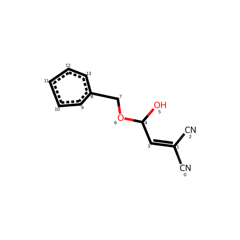 N#CC(C#N)=CC(O)OCc1ccccc1